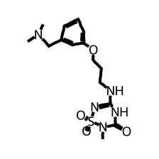 CN(C)Cc1cccc(OCCCNC2=NS(=O)(=O)N(C)C(=O)N2)c1